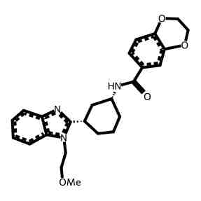 COCCn1c([C@H]2CCC[C@@H](NC(=O)c3ccc4c(c3)OCCO4)C2)nc2ccccc21